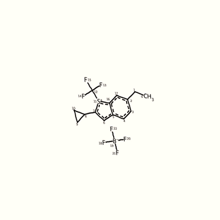 CCc1ccc2cc(C3CC3)[s+](C(F)(F)F)c2c1.F[B-](F)(F)F